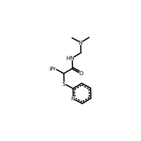 CC(C)C(Sc1ccccn1)C(=O)NCN(C)C